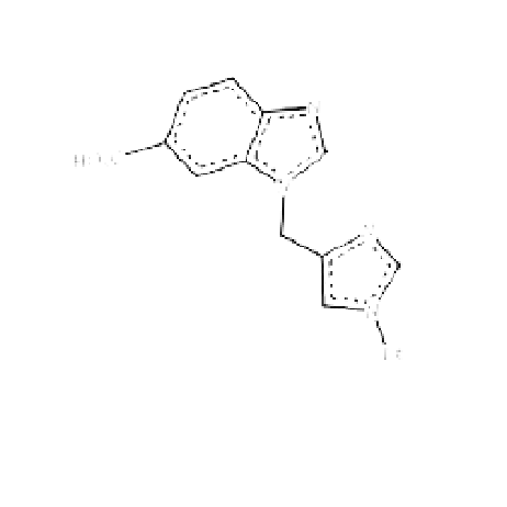 CCn1cnc(Cn2cnc3ccc(C(=O)O)cc32)c1